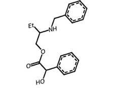 CCC(COC(=O)C(O)c1ccccc1)NCc1ccccc1